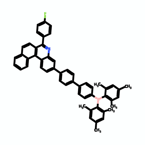 Cc1cc(C)c(B(c2ccc(-c3ccc(-c4ccc5c(c4)nc(-c4ccc(F)cc4)c4ccc6ccccc6c45)cc3)cc2)c2c(C)cc(C)cc2C)c(C)c1